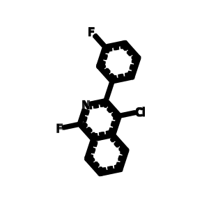 Fc1cccc(-c2nc(F)c3ccccc3c2Cl)c1